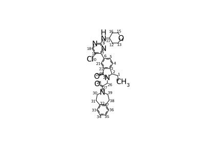 CCC1c2ccc(-c3nc(NC4CCOCC4)ncc3Cl)cc2C(=O)N1CC(=O)N1CCc2ccccc2CC1